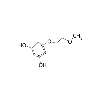 COCCOc1cc(O)cc(O)c1